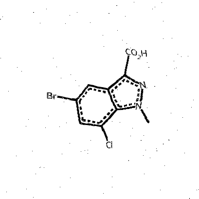 Cn1nc(C(=O)O)c2cc(Br)cc(Cl)c21